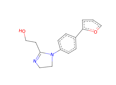 OCCC1=NCCN1c1ccc(-c2ccco2)cc1